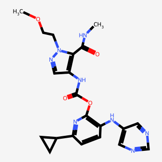 CNC(=O)c1c(NC(=O)Oc2nc(C3CC3)ccc2Nc2cncnc2)cnn1CCOC